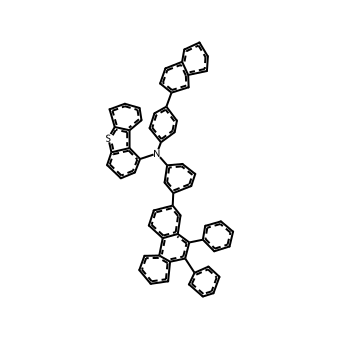 c1ccc(-c2c(-c3ccccc3)c3cc(-c4cccc(N(c5ccc(-c6ccc7ccccc7c6)cc5)c5cccc6sc7ccccc7c56)c4)ccc3c3ccccc23)cc1